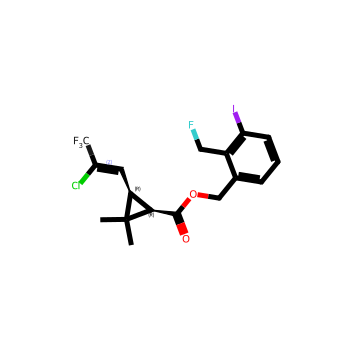 CC1(C)[C@H](C(=O)OCc2cccc(I)c2CF)[C@@H]1/C=C(\Cl)C(F)(F)F